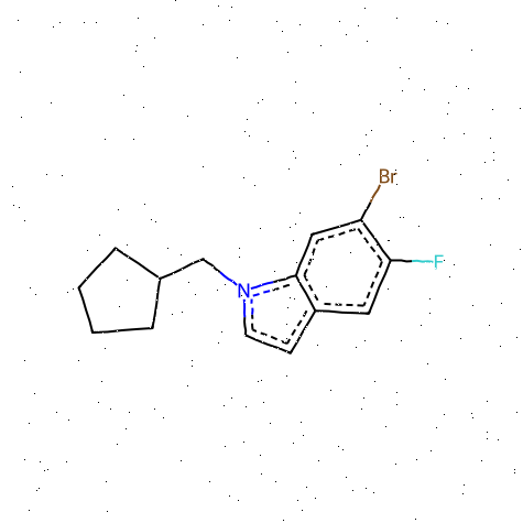 Fc1cc2ccn(CC3CCCC3)c2cc1Br